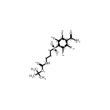 CC(C)(C)OC(=O)NCCCS(=O)(=O)c1c(F)c(F)c(C(N)=O)c(F)c1F